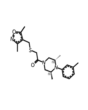 Cc1cccc(N2[C@@H](C)CN(C(=O)CSCc3c(C)noc3C)C[C@@H]2C)c1